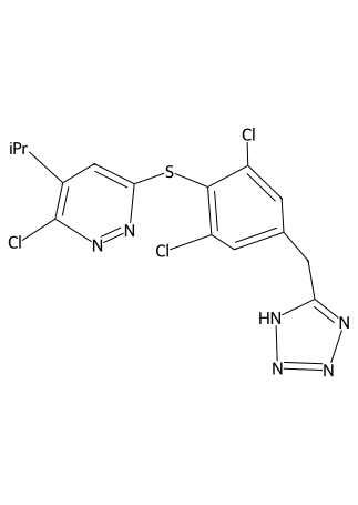 CC(C)c1cc(Sc2c(Cl)cc(Cc3nnn[nH]3)cc2Cl)nnc1Cl